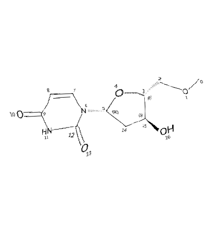 COC[C@H]1O[C@@H](n2ccc(=O)[nH]c2=O)C[C@@H]1O